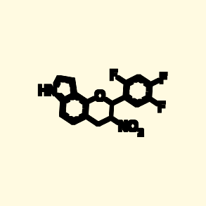 O=[N+]([O-])C1Cc2ccc3[nH]ccc3c2OC1c1cc(F)c(F)cc1F